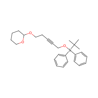 CC(C)(C)[Si](OCC#CCCOC1CCCCO1)(c1ccccc1)c1ccccc1